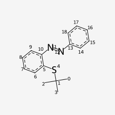 CC(C)(C)Sc1ccccc1N=Nc1ccccc1